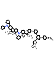 CC1=CC=C(c2cc(-c3ccc(C)cc3)cc(-c3cccc(-c4ccc5c(c4)C(C)(C)c4cc(N(c6ccccc6)c6ccc7c(c6)C(C)(C)c6cc8c(cc6-7)C6CC=CC=C6N8c6ccccc6)ccc4-5)c3)c2)CC1